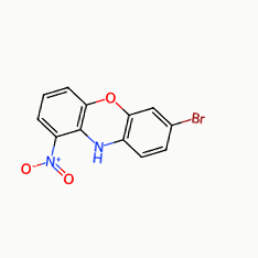 O=[N+]([O-])c1cccc2c1Nc1ccc(Br)cc1O2